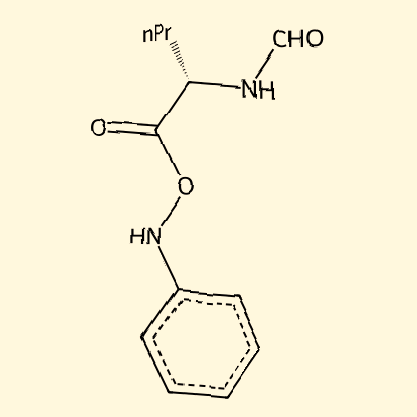 CCC[C@H](NC=O)C(=O)ONc1ccccc1